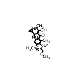 CN/C(O)=C(\C(=N)C1CC1)C(=O)c1ccc([S+](C)[O-])c([S+]([O-])CCOC)c1C